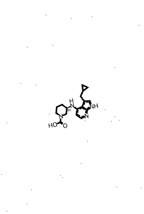 O=C(O)N1CCC[C@@H](Nc2ccnc3[nH]cc(CC4CC4)c23)C1